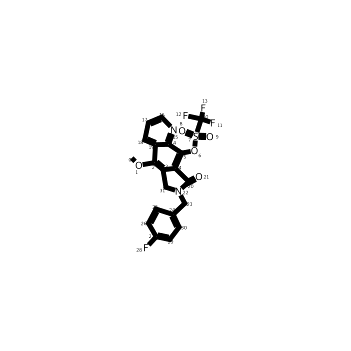 COc1c2c(c(OS(=O)(=O)C(F)(F)F)c3ncccc13)C(=O)N(Cc1ccc(F)cc1)C2